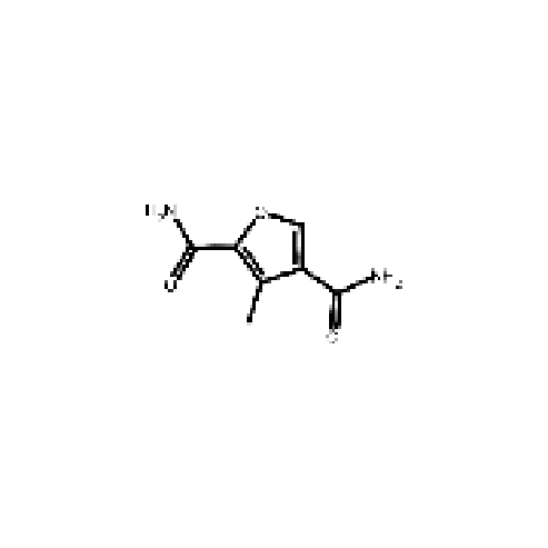 Cc1c(C(N)=O)coc1C(N)=O